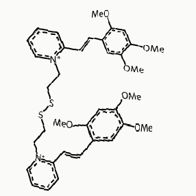 COc1cc(OC)c(OC)cc1/C=C/c1cccc[n+]1CCSSCC[n+]1ccccc1/C=C/c1cc(OC)c(OC)cc1OC